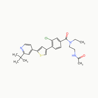 CCN(CCNC(C)=O)C(=O)c1ccc(-c2csc(-c3ccnc(C(C)(C)C)c3)c2)c(Cl)c1